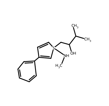 CNS1(CC(O)C(C)C)C=CC(c2ccccc2)=C1